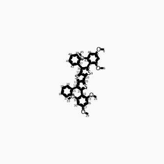 COc1cc(OC)c(-c2sc3c(sc4c(-c5ccccc5)c(-c5c(OC)cc(OC)cc5OC)sc43)c2-c2ccccc2)c(OC)c1